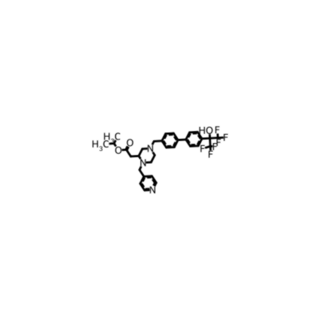 CC(C)OC(=O)CC1CN(Cc2ccc(-c3ccc(C(O)(C(F)(F)F)C(F)(F)F)cc3)cc2)CCN1Cc1ccncc1